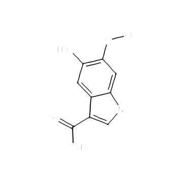 COc1cc2[nH]cc(C(=O)O)c2cc1C